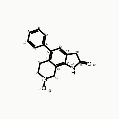 CN1CCc2c(-c3ccccc3)cc3c(c2C1)NC(=O)C3